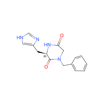 O=C1CN(Cc2ccccc2)C(=O)[C@@H](Cc2c[nH]cn2)N1